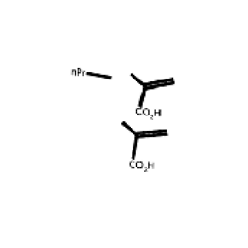 C=C(C)C(=O)O.C=C(C)C(=O)O.CCCC